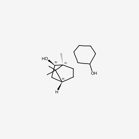 CC1(C)[C@@H]2CC[C@]1(C)[C@H](O)C2.OC1CCCCC1